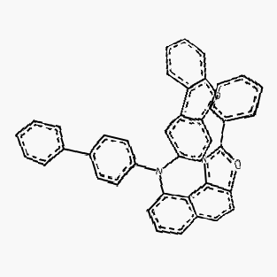 c1ccc(-c2ccc(N(c3ccc4oc5ccccc5c4c3)c3cccc4ccc5oc(-c6ccccc6)nc5c34)cc2)cc1